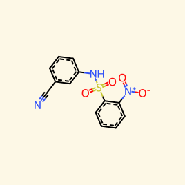 N#Cc1cccc(NS(=O)(=O)c2ccccc2[N+](=O)[O-])c1